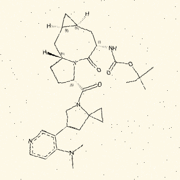 CN(C)c1ccncc1C1CN(C(=O)[C@@H]2CC[C@@H]3C[C@H]4C[C@H]4C[C@H](NC(=O)OC(C)(C)C)C(=O)N32)C2(CC2)C1